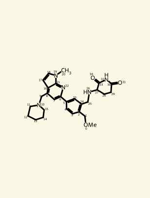 COCc1ccc(-c2cc(CN3CCCCC3)c3ccn(C)c3n2)cc1CNC1CCC(=O)NC1=O